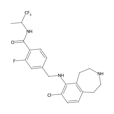 CC(NC(=O)c1ccc(CNc2c(Cl)ccc3c2CCNCC3)cc1F)C(F)(F)F